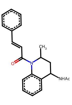 CC(=O)NC1CC(C)N(C(=O)/C=C/c2ccccc2)c2ccccc21